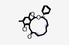 Cc1cc(C)c2c(c1Cl)CC(=O)/C=C/CC/C=C/C[C@@H](c1ccccc1)OC2=O